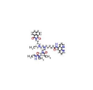 CCCN(CCCCN1C(=O)c2cccc3cccc(c23)C1=O)CCN(CCCCCC(=O)Nc1cc2cccnc2c2ncccc12)CCN(CCN(C)C(=O)NCC)C(=O)CC